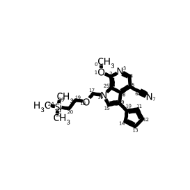 COc1ncc(C#N)c2c(C3=C=CC=C3)cn(COCC[Si](C)(C)C)c12